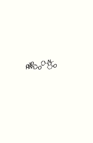 Cc1c2c(c(-c3cccc(Oc4ccc(NS(C)(=O)=O)cc4)c3)n1C)CCCC2=O